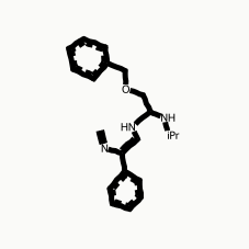 C=N/C(=C\NC(COCc1ccccc1)NC(C)C)c1ccccc1